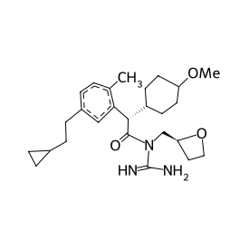 COC1CCC([C@H](C(=O)N(C[C@@H]2CCO2)C(=N)N)c2cc(CCC3CC3)ccc2C)CC1